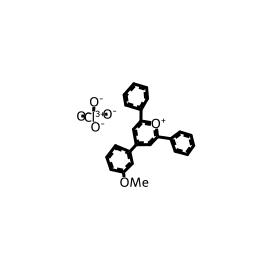 COc1cccc(-c2cc(-c3ccccc3)[o+]c(-c3ccccc3)c2)c1.[O-][Cl+3]([O-])([O-])[O-]